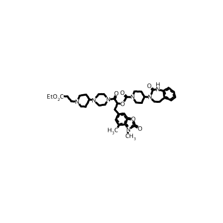 CCOC(=O)CCN1CCC(N2CCN(C(=O)C(Cc3cc(C)c4c(c3)oc(=O)n4C)OC(=O)N3CCC(N4CCc5ccccc5NC4=O)CC3)CC2)CC1